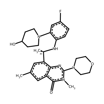 Cc1cc([C@@H](C)Nc2ccc(F)cc2N2CCC(O)CC2)c2nc(N3CCOCC3)n(C)c(=O)c2c1